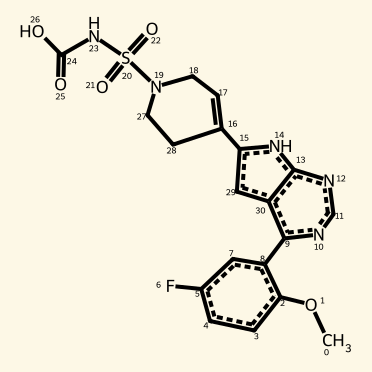 COc1ccc(F)cc1-c1ncnc2[nH]c(C3=CCN(S(=O)(=O)NC(=O)O)CC3)cc12